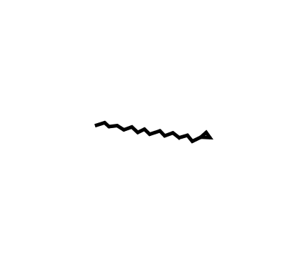 CCCCCCCCCCCC[CH]CCC1CC1